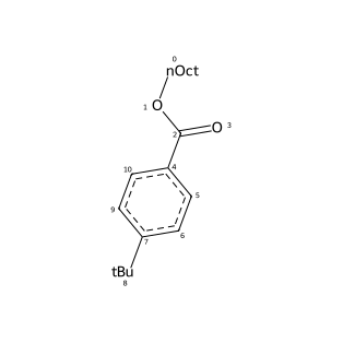 CCCCCCCCOC(=O)c1ccc(C(C)(C)C)cc1